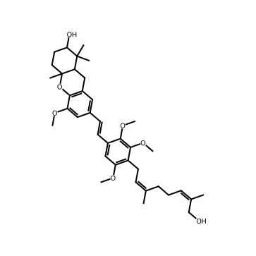 COc1cc(C=Cc2cc3c(c(OC)c2)OC2(C)CCC(O)C(C)(C)C2C3)c(OC)c(OC)c1CC=C(C)CCC=C(C)CO